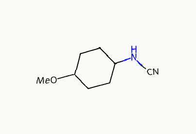 COC1CCC(NC#N)CC1